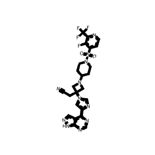 N#CCC1(n2cnc(-c3ncnc4[nH]ncc34)c2)CN(C2CCN(S(=O)(=O)c3ccnc(C(F)(F)F)c3F)CC2)C1